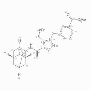 CCCSc1c(C(=O)NC2[C@H]3C[C@@H]4C[C@@H](C[C@H]2C4)C3)cnn1Cc1cccc(C(=O)OC)c1